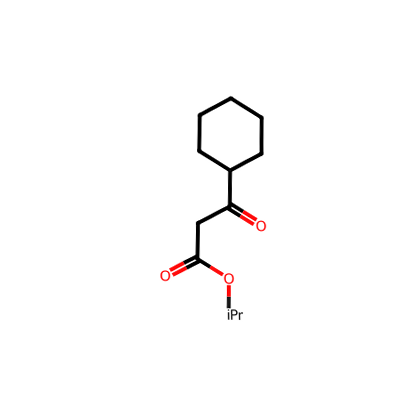 CC(C)OC(=O)CC(=O)C1CCCCC1